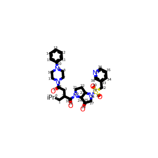 CC(C)CC(CC(=O)N1CCN(c2ccccc2)CC1)C(=O)N1CCC2C1C(=O)CN2S(=O)(=O)Cc1cccnc1